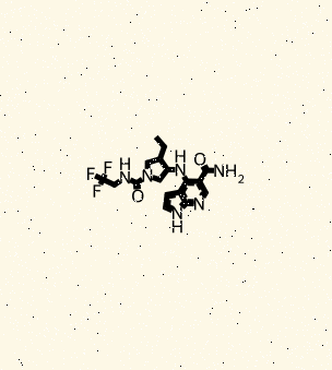 CCC1CN(C(=O)NCC(F)(F)F)CC1Nc1c(C(N)=O)cnc2[nH]ccc12